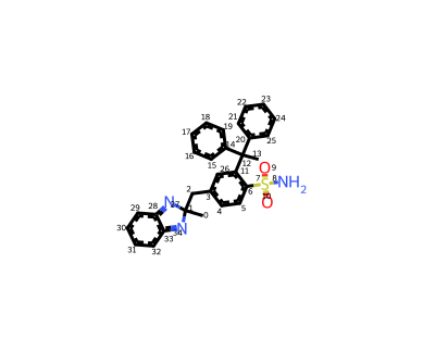 CC1(Cc2ccc(S(N)(=O)=O)c(C(C)(c3ccccc3)c3ccccc3)c2)N=c2ccccc2=N1